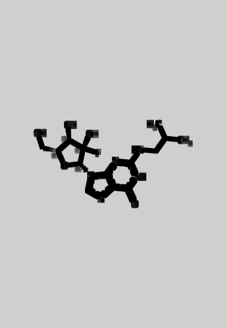 CC(C)CNc1nc2c(ncn2[C@@H]2O[C@H](CO)[C@@H](O)[C@]2(O)F)c(=O)[nH]1